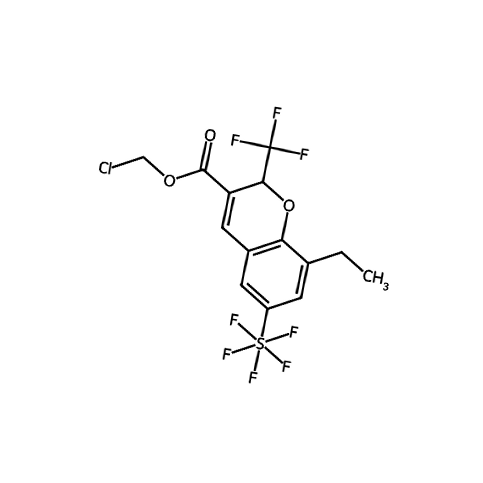 CCc1cc(S(F)(F)(F)(F)F)cc2c1OC(C(F)(F)F)C(C(=O)OCCl)=C2